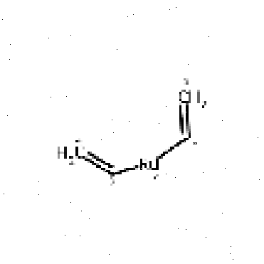 C=[CH][Ru][CH]=C